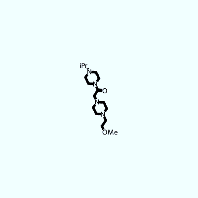 COCCN1CCN(CC(=O)N2CCN(C(C)C)CC2)CC1